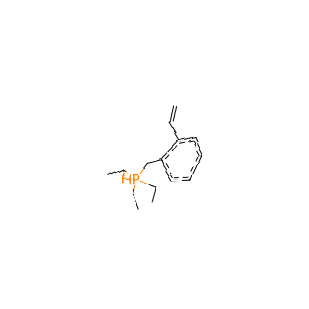 C=Cc1ccccc1C[PH](CC)(CC)CC